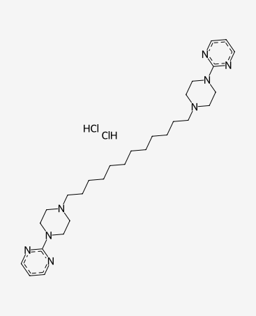 Cl.Cl.c1cnc(N2CCN(CCCCCCCCCCCCN3CCN(c4ncccn4)CC3)CC2)nc1